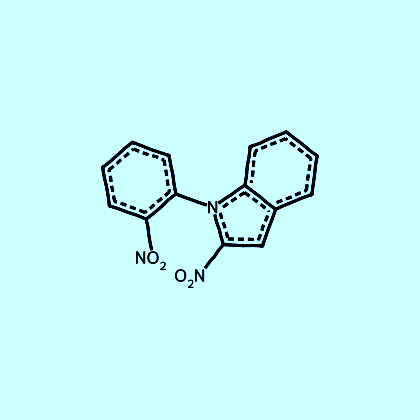 O=[N+]([O-])c1ccccc1-n1c([N+](=O)[O-])cc2ccccc21